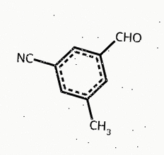 Cc1cc(C#N)cc(C=O)c1